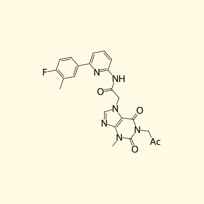 CC(=O)Cn1c(=O)c2c(ncn2CC(=O)Nc2cccc(-c3ccc(F)c(C)c3)n2)n(C)c1=O